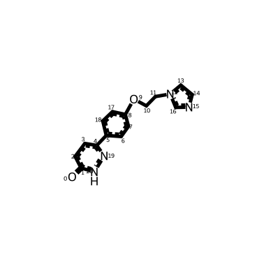 O=c1ccc(-c2ccc(OCCn3ccnc3)cc2)n[nH]1